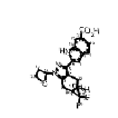 C[C@@]12Cc3c(c(-c4cc5ccc(C(=O)O)cc5[nH]4)nn3C3CCO3)C[C@@H]1C2(F)F